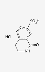 Cl.O=C1NCCc2ccc(S(=O)(=O)O)cc21